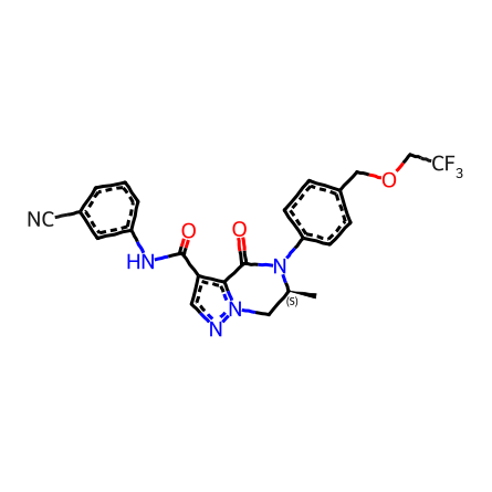 C[C@H]1Cn2ncc(C(=O)Nc3cccc(C#N)c3)c2C(=O)N1c1ccc(COCC(F)(F)F)cc1